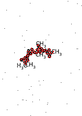 Cc1ccc(N(c2ccccc2)c2ccc3c4cc5c(cc4n4c6ccccc6c2c34)c2ccc(N(c3ccc(C)cc3)c3cccc(CC(C)c4ccc(N(c6ccccc6)c6ccc7c8cc9c(cc8n8c%10ccccc%10c6c78)c6ccc(N(c7ccccc7)c7ccc(C(C)C)cc7)c7c8ccccc8n9c67)cc4)c3)c3c4ccccc4n5c23)cc1